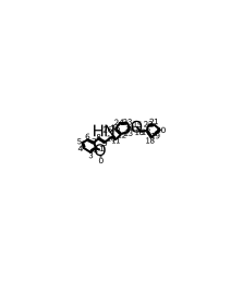 COc1ccccc1C=Cc1cc2cc(OCc3ccccc3)ccc2[nH]1